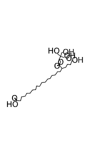 O=C(O)CCCCCCCCCCCCCCCCCC(CCCC(=O)O)C(=O)OCC(CO)(CO)CO